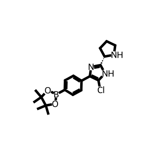 CC1(C)OB(c2ccc(-c3nc([C@@H]4CCCN4)[nH]c3Cl)cc2)OC1(C)C